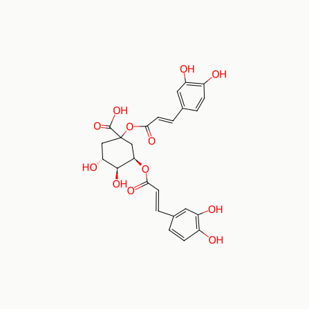 O=C(/C=C/c1ccc(O)c(O)c1)O[C@@H]1CC(OC(=O)/C=C/c2ccc(O)c(O)c2)(C(=O)O)C[C@@H](O)[C@@H]1O